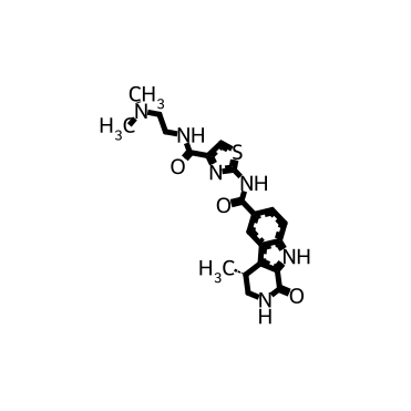 C[C@H]1CNC(=O)c2[nH]c3ccc(C(=O)Nc4nc(C(=O)NCCN(C)C)cs4)cc3c21